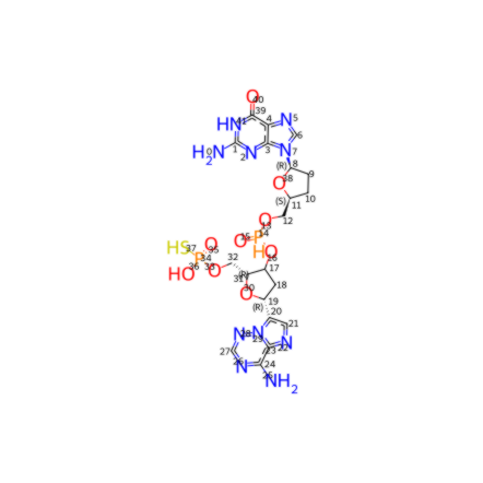 Nc1nc2c(ncn2[C@H]2CC[C@@H](CO[PH](=O)OC3C[C@H](c4cnc5c(N)ncnn45)O[C@@H]3COP(=O)(O)S)O2)c(=O)[nH]1